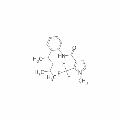 CC(C)CC(C)c1ccccc1NC(=O)c1ccn(C)c1C(F)(F)F